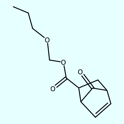 CCCOCOC(=O)C1CC2C=CC1C2=O